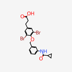 O=C(O)CCc1cc(Br)c(OCc2cccc(NC(=O)C3CC3)c2)c(Br)c1